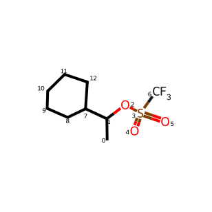 CC(OS(=O)(=O)C(F)(F)F)C1CCCCC1